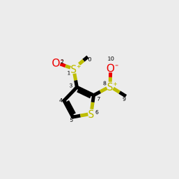 C[S+]([O-])c1ccsc1[S+](C)[O-]